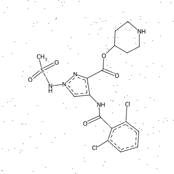 CS(=O)(=O)Nn1cc(NC(=O)c2c(Cl)cccc2Cl)c(C(=O)OC2CCNCC2)n1